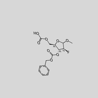 COC1O[C@H](COC(=O)O)[C@@H](OC(=O)OCc2ccccc2)[C@@H]1F